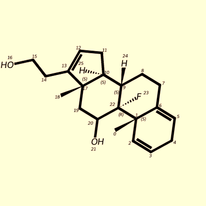 C[C@]12C=CCC=C1CC[C@H]1[C@@H]3CC=C(CCO)[C@@]3(C)CC(O)[C@@]12F